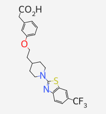 O=C(O)Cc1cccc(OCCC2CCN(c3nc4ccc(C(F)(F)F)cc4s3)CC2)c1